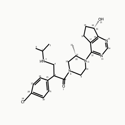 CC(C)NCC(C(=O)N1CCN(c2ncnc3c2CC[C@@H]3O)[C@@H](C)C1)c1ccc(Cl)cc1